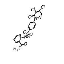 CC(=O)c1ccccc1NS(=O)(=O)c1ccc(-n2ncc(Cl)c(Cl)c2=O)cc1